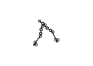 C=CC(=O)OCCCCCCOc1ccc(-c2ccc(COc3ccc(C#N)cc3OCc3ccc(-c4ccc(OCCCCCCOC(=O)C=C)cc4)cc3)cc2)cc1